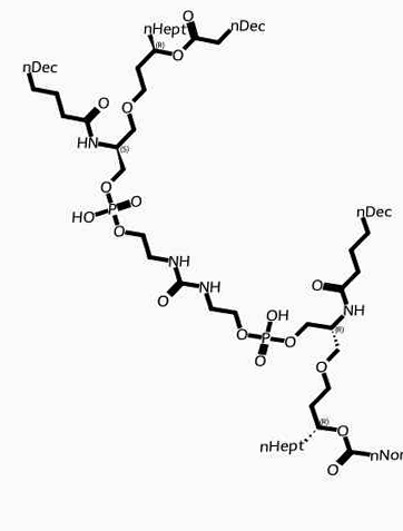 CCCCCCCCCCCCCC(=O)N[C@H](COCC[C@@H](CCCCCCC)OC(=O)CCCCCCCCC)COP(=O)(O)OCCNC(=O)NCCOP(=O)(O)OC[C@H](COCC[C@@H](CCCCCCC)OC(=O)CCCCCCCCCCC)NC(=O)CCCCCCCCCCCCC